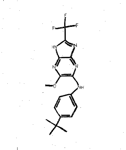 COc1nc2[nH]c(C(F)(F)F)nc2nc1Nc1ccc(C(C)(C)C)cc1